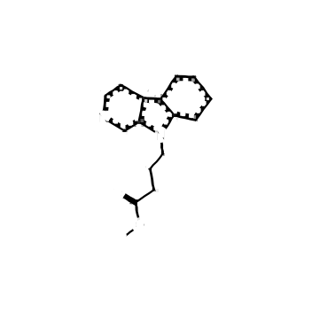 COC(=O)CCCn1c2ccccc2c2ccncc21